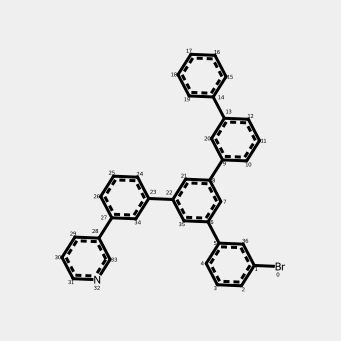 Brc1cccc(-c2cc(-c3cccc(-c4ccccc4)c3)cc(-c3cccc(-c4cccnc4)c3)c2)c1